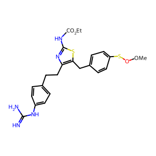 CCOC(=O)Nc1nc(CCc2ccc(NC(=N)N)cc2)c(Cc2ccc(SOOC)cc2)s1